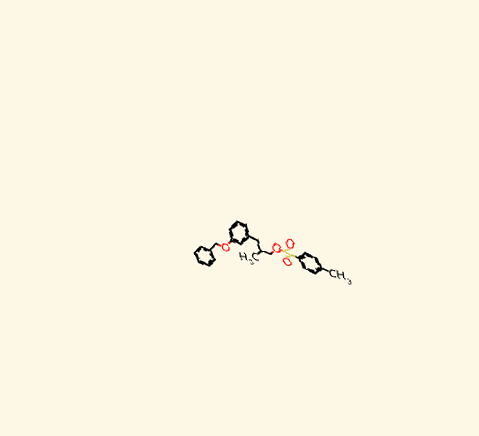 Cc1ccc(S(=O)(=O)OCC(C)Cc2cccc(OCc3ccccc3)c2)cc1